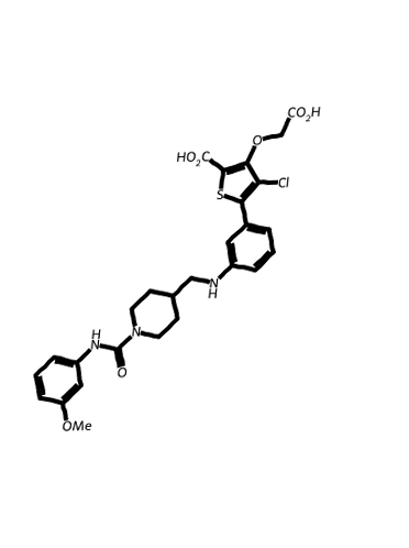 COc1cccc(NC(=O)N2CCC(CNc3cccc(-c4sc(C(=O)O)c(OCC(=O)O)c4Cl)c3)CC2)c1